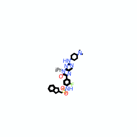 CC(C)n1c(=O)c(-c2ccc(NS(=O)(=O)CC3Cc4ccccc4C3)c(F)c2)nc2cnc(NC3CCC(N(C)C)CC3)nc21